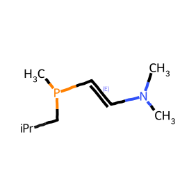 CC(C)CP(C)/C=C/N(C)C